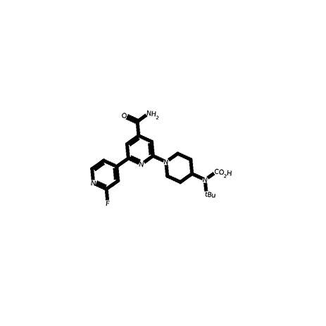 CC(C)(C)N(C(=O)O)C1CCN(c2cc(C(N)=O)cc(-c3ccnc(F)c3)n2)CC1